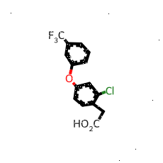 O=C(O)Cc1ccc(Oc2cccc(C(F)(F)F)c2)cc1Cl